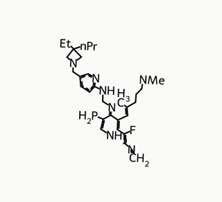 C=N/C=C(F)/C=C(\C=C(/C)CCCNC)C(=N/CNc1ccc(CN2CC(CC)(CCC)C2)cn1)/C(P)=C\N